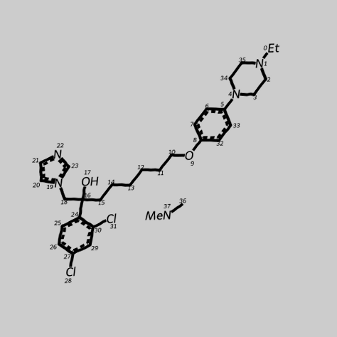 CCN1CCN(c2ccc(OCCCCCCC(O)(Cn3ccnc3)c3ccc(Cl)cc3Cl)cc2)CC1.CNC